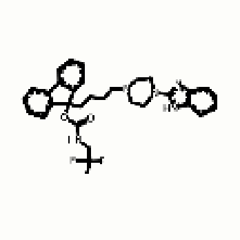 O=C(NCC(F)(F)F)OC1(CCCCN2CCN(c3nc4ccccc4[nH]3)CC2)c2ccccc2-c2ccccc21